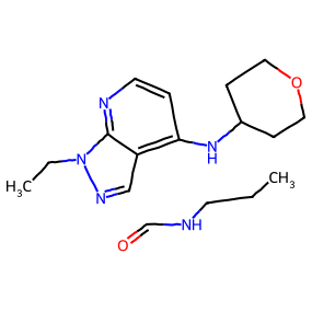 CCCNC=O.CCn1ncc2c(NC3CCOCC3)ccnc21